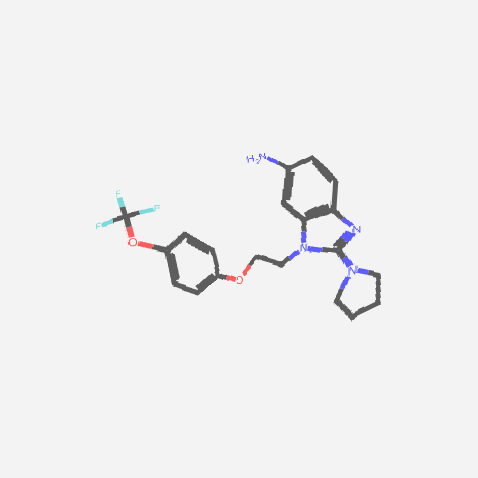 Nc1ccc2nc(N3CCCC3)n(CCOc3ccc(OC(F)(F)F)cc3)c2c1